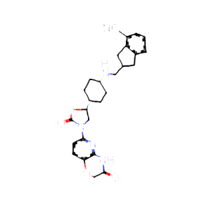 N#Cc1cccc2c1CC(CN[C@H]1CC[C@H](C3CN(c4ccc5c(n4)NC(=O)CO5)C(=O)O3)CC1)C2